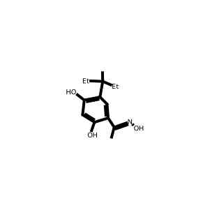 CCC(C)(CC)c1cc(C(C)=NO)c(O)cc1O